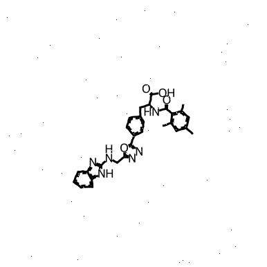 Cc1cc(C)c(C(=O)NC(Cc2ccc(-c3nnc(CNc4nc5ccccc5[nH]4)o3)cc2)C(=O)O)c(C)c1